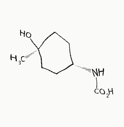 C[C@]1(O)CC[C@H](NC(=O)O)CC1